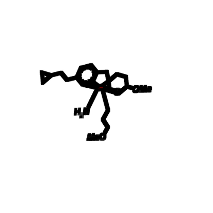 COCCCN1C(=O)C2(N=C1N)c1cc(CCC3CC3)ccc1CC21CCC(OC)CC1